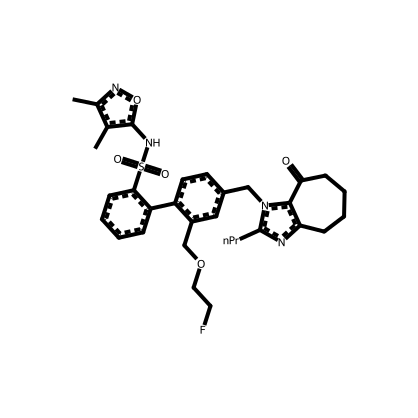 CCCc1nc2c(n1Cc1ccc(-c3ccccc3S(=O)(=O)Nc3onc(C)c3C)c(COCCF)c1)C(=O)CCCC2